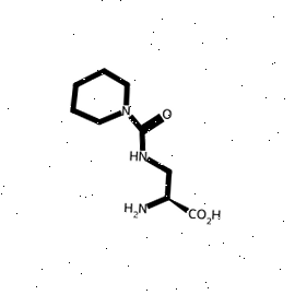 N[C@@H](CNC(=O)N1CCCCC1)C(=O)O